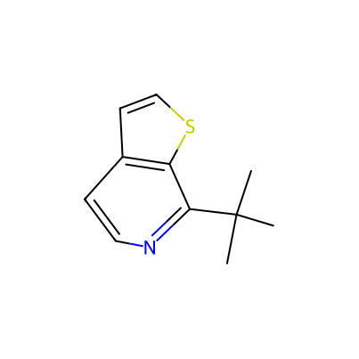 CC(C)(C)c1nccc2ccsc12